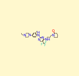 CCN1CCN(c2ccc(Nc3ncc(C(F)(F)F)c(NCCCN4CCCCC4=O)n3)c(C)c2)CC1